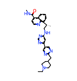 CCN1CCC(Cc2ncc(-c3cc(NC[C@@H](C)c4cccc5c(C(=O)NC)ccnc45)ncn3)cn2)CC1